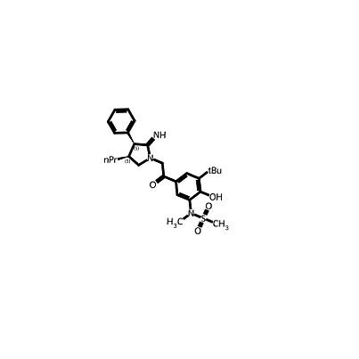 CCC[C@@H]1CN(CC(=O)c2cc(N(C)S(C)(=O)=O)c(O)c(C(C)(C)C)c2)C(=N)[C@@H]1c1ccccc1